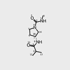 CNC(=O)N1CC[C@@H](NC(=O)C(C)C)C1